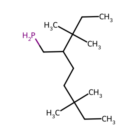 CCC(C)(C)CCC(CP)C(C)(C)CC